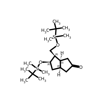 CC(C)(C)[Si](C)(C)OC[C@H]1[C@H]2CC(=O)C[C@H]2C[C@H]1O[Si](C)(C)C(C)(C)C